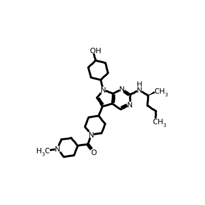 CCC[C@H](C)Nc1ncc2c(C3CCN(C(=O)C4CCN(C)CC4)CC3)cn(C3CCC(O)CC3)c2n1